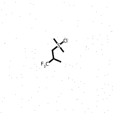 CC(CS(C)(C)Cl)C(F)(F)F